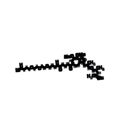 CCNCCCOCCOCCOCCCNC(=O)CCCC(=O)N1CCc2c(nnn2C/C(C)=C/O/C=C(\C)CN(C)C(C)(C)C)[C@H](OC)[C@@H](OC)C1